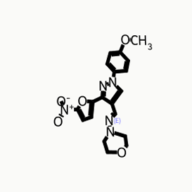 COc1ccc(-n2cc(/C=N/N3CCOCC3)c(-c3ccc([N+](=O)[O-])o3)n2)cc1